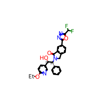 CCOc1ccc([C@H](O)[C@@H](c2ccccc2)N2Cc3ccc(-c4nnc(C(F)F)o4)cc3C2=O)cn1